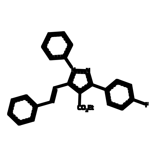 CCOC(=O)c1c(-c2ccc(F)cc2)nn(-c2ccccc2)c1/C=C/c1ccccc1